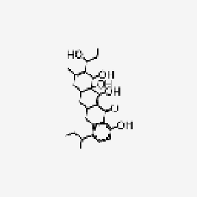 CCC(O)C1=C(C)CC2CC3Cc4c(C(C)CC)ccc(O)c4C(=O)C3=C(O)C2(O)C1O